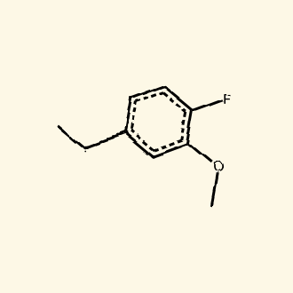 C[CH]c1ccc(F)c(OC)c1